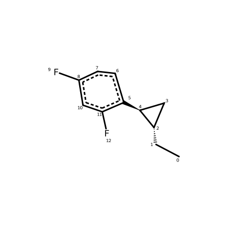 CC[C@H]1C[C@@H]1c1ccc(F)cc1F